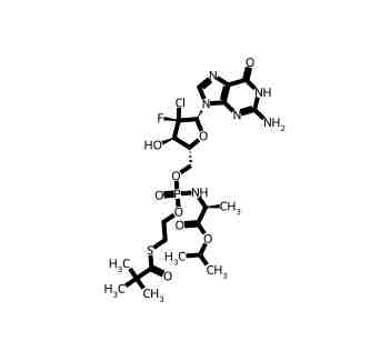 CC(C)OC(=O)[C@H](C)NP(=O)(OCCSC(=O)C(C)(C)C)OC[C@H]1O[C@@H](n2cnc3c(=O)[nH]c(N)nc32)[C@@](F)(Cl)[C@@H]1O